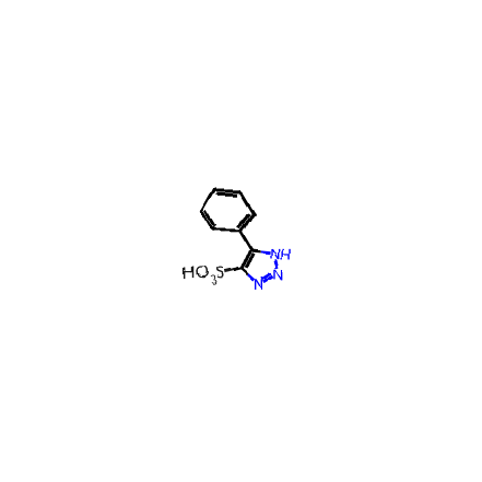 O=S(=O)(O)c1nn[nH]c1-c1ccccc1